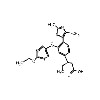 CCOc1ncc(Nc2cc([C@H](CC)CC(=O)O)ccc2-c2sc(C)nc2C)cn1